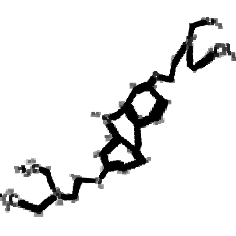 CCN(CC)CCOc1ccc2c(c1)sc1cc(OCCN(CC)CC)ccc12